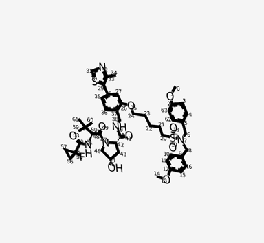 COc1ccc(CN(Cc2ccc(OC)cc2)S(=O)(=O)CCCCCOc2cc(-c3scnc3C)ccc2CNC(=O)[C@@H]2C[C@@H](O)CN2C(=O)[C@@H](NC(=O)C2(F)CC2)C(C)(C)C)cc1